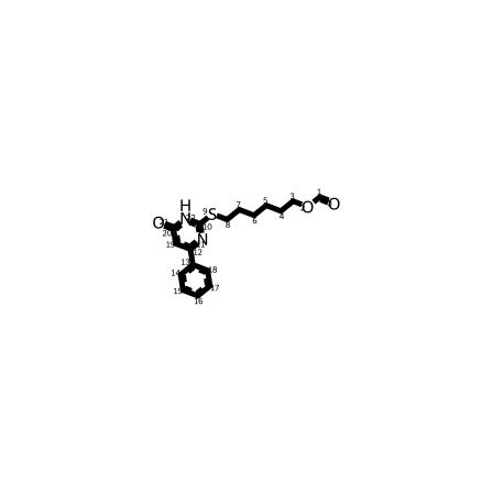 O=COCCCCCCSc1nc(-c2ccccc2)cc(=O)[nH]1